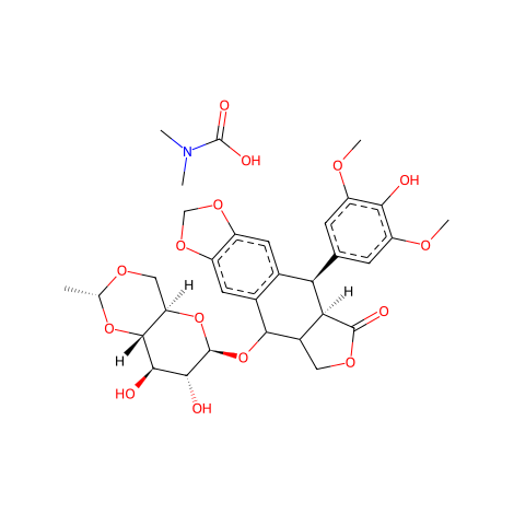 CN(C)C(=O)O.COc1cc([C@@H]2c3cc4c(cc3C(O[C@@H]3O[C@@H]5CO[C@@H](C)O[C@H]5[C@H](O)[C@H]3O)C3COC(=O)[C@@H]32)OCO4)cc(OC)c1O